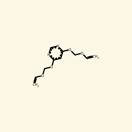 C=COCOc1cc(OCOC=C)ncn1